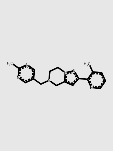 Cc1cccnc1-c1cc2n(n1)CCN(Cc1cnc(C(F)(F)F)nc1)C2